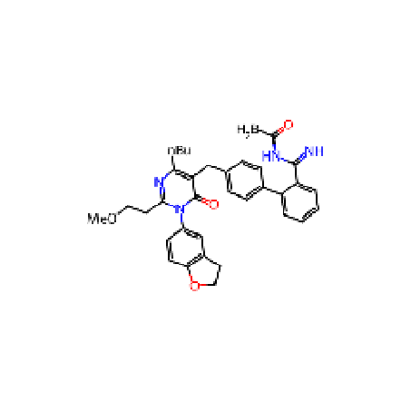 BC(=O)NC(=N)c1ccccc1-c1ccc(Cc2c(CCCC)nc(CCOC)n(-c3ccc4c(c3)CCO4)c2=O)cc1